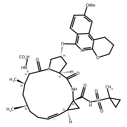 COc1ccc2c(O[C@@H]3C[C@H]4C(=O)N[C@]5(C(=O)NS(=O)(=O)C6(C)CC6)C[C@H]5/C=C\CC[C@@H](C)C[C@@H](C)[C@H](NC(=O)O)C(=O)N4C3)nc3c(c2c1)CCCO3